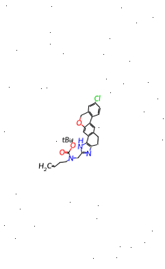 C=CCCN(Cc1nc2c([nH]1)-c1cc3c(cc1CC2)-c1ccc(Cl)cc1CO3)C(=O)OC(C)(C)C